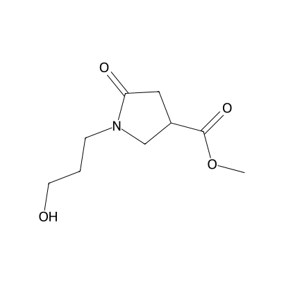 COC(=O)C1CC(=O)N(CCCO)C1